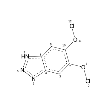 ClOc1cc2nn[nH]c2cc1OCl